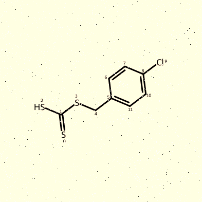 S=C(S)SCc1ccc(Cl)cc1